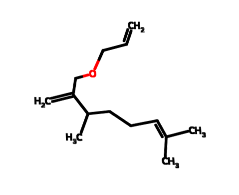 C=CCOCC(=C)C(C)CCC=C(C)C